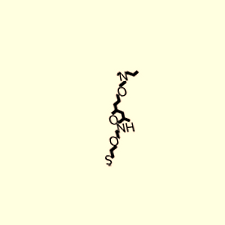 CCCN(C)CCOCCCC(C)CC(C)C(=O)NCCOCCCSC